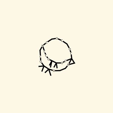 CC1(C)OCCN2CCOCCOCC3(COC(C)(C)C(C)(C)OCC2)CN3CCOC1(C)C